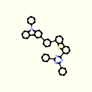 c1ccc(-c2nc(-c3ccccc3)nc(-c3cccc4c3sc3c(-c5cccc(-c6ccc7c(c6)c6ccccc6n7-c6ccccc6)c5)cccc34)n2)cc1